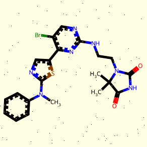 CN(c1ccccc1)c1ncc(-c2nc(NCCN3C(=O)NC(=O)C3(C)C)ncc2Br)s1